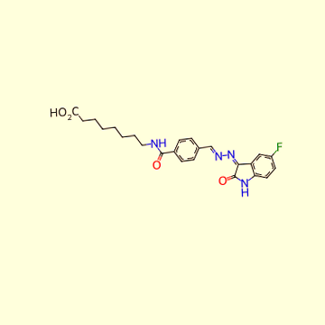 O=C(O)CCCCCCCNC(=O)c1ccc(/C=N/N=C2\C(=O)Nc3ccc(F)cc32)cc1